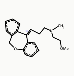 COCCN(C)CC/C=C1/c2ccccc2COc2ccccc21